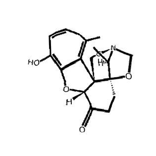 Cc1ccc(O)c2c1[C@]13CC[N@@]4CO[C@]1(CCC(=O)[C@@H]3O2)[C@H]4C